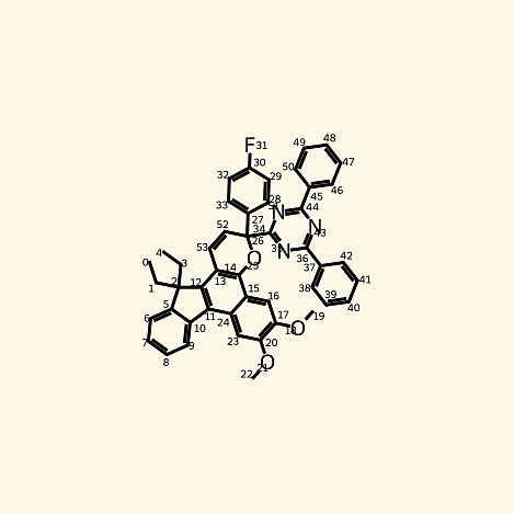 CCC1(CC)c2ccccc2-c2c1c1c(c3cc(OC)c(OC)cc23)OC(c2ccc(F)cc2)(c2nc(-c3ccccc3)nc(-c3ccccc3)n2)C=C1